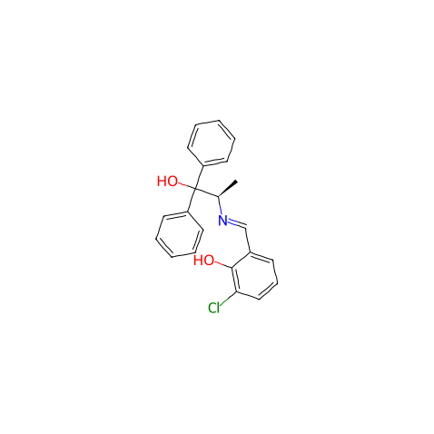 C[C@@H](N=Cc1cccc(Cl)c1O)C(O)(c1ccccc1)c1ccccc1